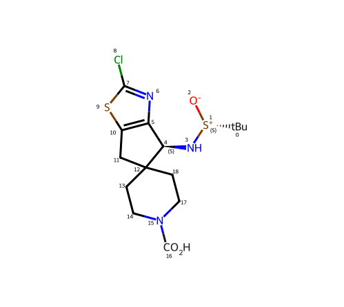 CC(C)(C)[S@@+]([O-])N[C@@H]1c2nc(Cl)sc2CC12CCN(C(=O)O)CC2